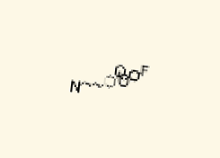 N#CC=CC=C[C@H]1CC[C@H](C(=O)Oc2ccc(F)cc2)CC1